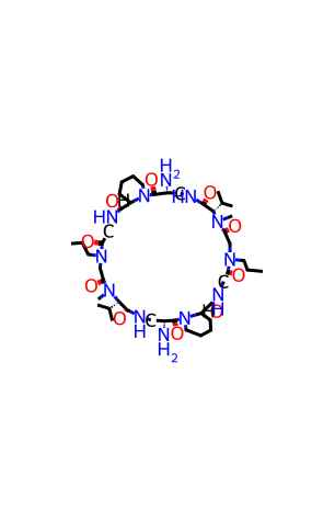 CCCN1CC(=O)N(C)[C@@H](C(C)C)C(=O)NC[C@@H](N)C(=O)N2CCCC[C@H]2C(=O)NCC(=O)N(CCC)CC(=O)N(C)[C@@H](C(C)C)C(=O)NC[C@@H](N)C(=O)N2CCCC[C@H]2C(=O)NCC1=O